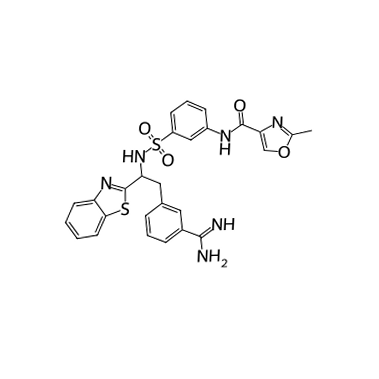 Cc1nc(C(=O)Nc2cccc(S(=O)(=O)NC(Cc3cccc(C(=N)N)c3)c3nc4ccccc4s3)c2)co1